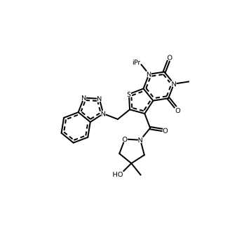 CC(C)n1c(=O)n(C)c(=O)c2c(C(=O)N3CC(C)(O)CO3)c(Cn3nnc4ccccc43)sc21